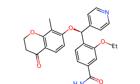 CCOc1cc(C(N)=O)ccc1[C@@H](Oc1ccc2c(c1C)OCCC2=O)c1ccncc1